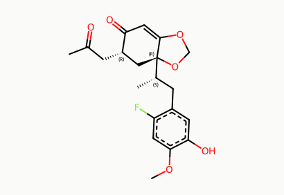 COc1cc(F)c(C[C@H](C)[C@]23C[C@H](CC(C)=O)C(=O)C=C2OCO3)cc1O